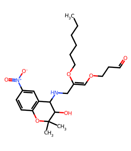 CCCCCCO/C(=C\OCCC=O)CNC1c2cc([N+](=O)[O-])ccc2OC(C)(C)C1O